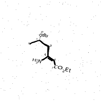 CCCC[C@@H](C)C/C(N)=C/C(=O)OCC